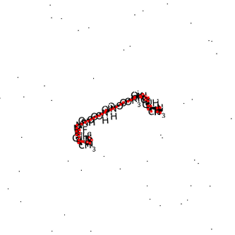 Cc1ccc(C(=O)Nc2ccc(CN3CCN(CCC(=O)NCCCOCCOCCOCCCNC(=O)CCCC(=O)NCCCOCCOCCOCCCNC(=O)CCN4CCN(Cc5ccc(NC(=O)c6ccc(C)c(C#Cc7cnc8cccnn78)c6)cc5C(F)(F)F)CC4)CC3)c(C(F)(F)F)c2)cc1C#Cc1cnc2cccnn12